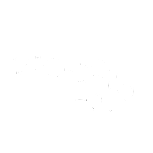 CC(C)(O)CC1(N)CCN(c2nc(C3=C(c4c[nH]c5ccsc45)C(=O)NC3=O)c3ccccc3n2)CC1